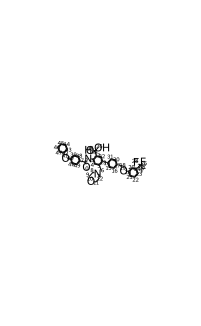 O=C(Nc1cc(CN2CCOCC2)c(-c2ccc(COc3cccc(C(F)(F)F)c3)cc2)cc1C(=O)O)c1ccc(Oc2ccccc2)cc1